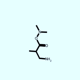 CC(CN)C(=O)ON(C)C